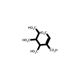 O=C(O)/C=C(/C(=O)O)C(C(=O)O)C(CC(=O)O)C(=O)O